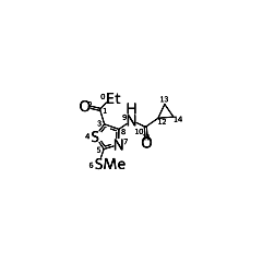 CCC(=O)c1sc(SC)nc1NC(=O)C1CC1